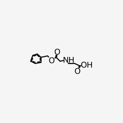 O=C(O)CCNCC(=O)OCc1ccccc1